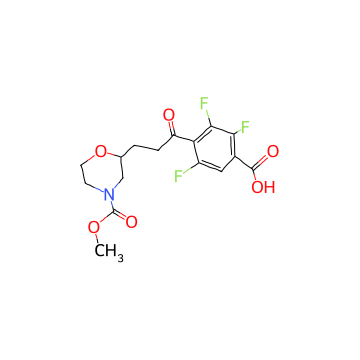 COC(=O)N1CCOC(CCC(=O)c2c(F)cc(C(=O)O)c(F)c2F)C1